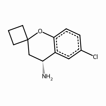 N[C@@H]1CC2(CCC2)Oc2ccc(Cl)cc21